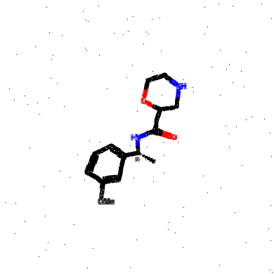 COc1cccc([C@@H](C)NC(=O)C2CNCCO2)c1